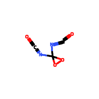 O=C=NC1(N=C=O)OO1